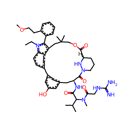 CCn1c(-c2ccccc2CCOC)c2c3cc(ccc31)-c1cc(O)cc(c1)C[C@H](NC(=O)C(C(C)C)N(C)C(=O)CNC(=N)N)C(=O)N1CCC[C@H](N1)C(=O)OCC(C)(C)C2